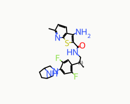 Cc1ccc2c(N)c(C(=O)NC[C@@H](C)c3cc(F)c(N4CC5CCC(C4)N5)cc3F)sc2n1